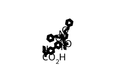 Cn1cc(C(=O)O)c2ccc(-c3ccc4c(c3)n(C)c(=O)n4-c3ccc(OCc4ccccc4)nc3OCc3ccccc3)cc21